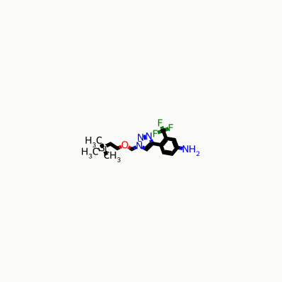 C[Si](C)(C)CCOCn1cc(-c2ccc(N)cc2C(F)(F)F)nn1